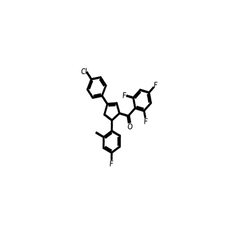 Cc1cc(F)ccc1C1CC(c2ccc(Cl)cc2)=CC1C(=O)c1c(F)cc(F)cc1F